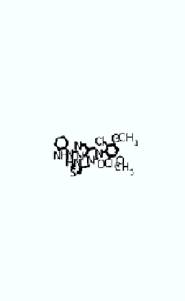 COc1cc(OC)c(Cl)c(N2Cc3cnc(NC4CCCCC4N)nc3N(Cc3cscn3)C2=O)c1Cl